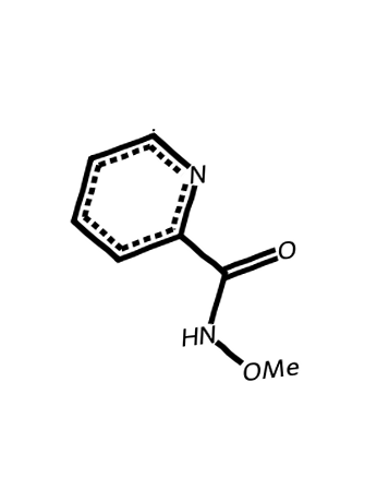 CONC(=O)c1ccc[c]n1